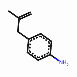 C=C(C)Cc1ccc(N)cc1